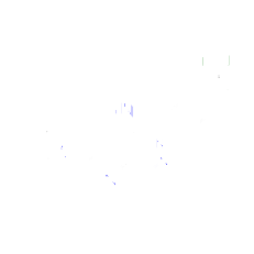 Cc1nnc(N[C@H](C)c2cccc(C(F)(F)F)c2)c2cc(N3CC4CC3CO4)cnc12